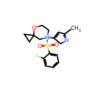 CC1=NCC([N+]2(S(=O)(=O)c3ccccc3F)CCOC3(CC3)C2)=C1